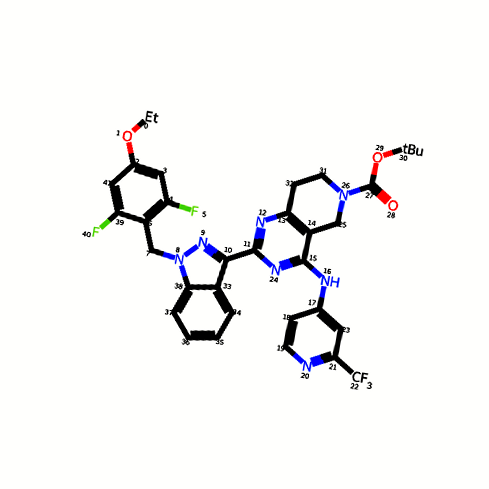 CCOc1cc(F)c(Cn2nc(-c3nc4c(c(Nc5ccnc(C(F)(F)F)c5)n3)CN(C(=O)OC(C)(C)C)CC4)c3ccccc32)c(F)c1